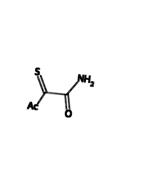 CC(=O)C(=S)C(N)=O